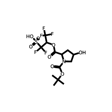 CC(C)(C)OC(=O)N1CC(O)CC1C(=O)OC(C(F)(F)F)C(F)(F)S(=O)(=O)O